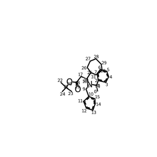 C[C@H](c1ccccc1)N(Cc1ccccc1)[C@@H](CC(=O)OC(C)(C)C)C1CCCCCC1